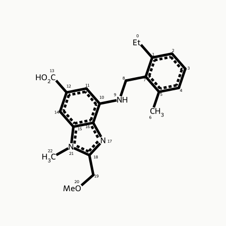 CCc1cccc(C)c1CNc1cc(C(=O)O)cc2c1nc(COC)n2C